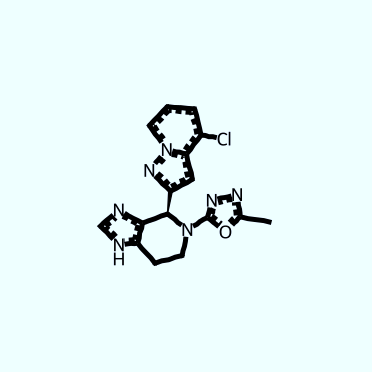 Cc1nnc(N2CCc3[nH]cnc3[C@H]2c2cc3c(Cl)cccn3n2)o1